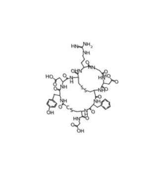 N=C(N)NCCCC1NC(=O)C2CSSCC(NC(=O)C(CC(=O)O)NC(=O)CNC1=O)C(=O)NC(Cc1ccccc1)C(=O)NC(C(=O)NCC(=O)O)CSCC(=O)NC(Cc1ccc(O)cc1)C(=O)NC(CC(=O)O)C(=O)N2